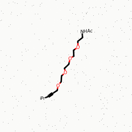 CC(=O)NCCOCCOCCOCCOCC#CC(C)C